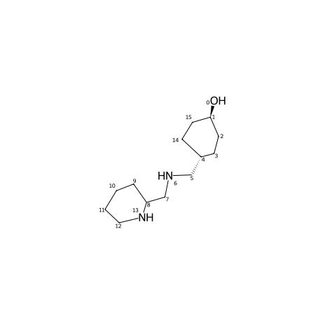 O[C@H]1CC[C@H](CNCC2CCCCN2)CC1